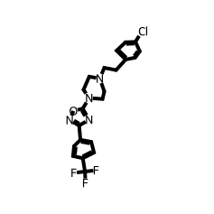 FC(F)(F)c1ccc(-c2noc(N3CCN(CCc4ccc(Cl)cc4)CC3)n2)cc1